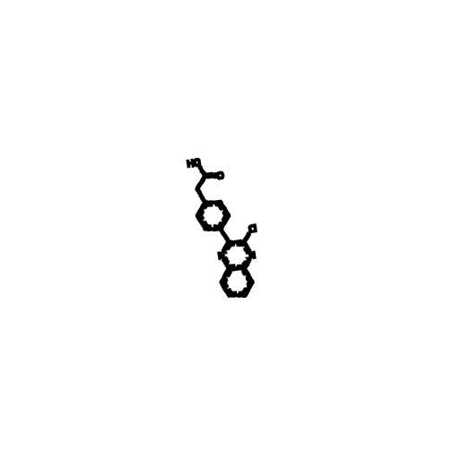 O=C(O)Cc1ccc(-c2nc3ccccc3nc2Cl)cc1